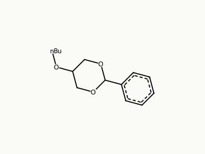 CCCCOC1COC(c2ccccc2)OC1